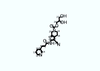 N#Cc1c(NC(=O)C=Cc2cccnc2)sc2c1CCN(C(=O)OCC(O)CO)C2